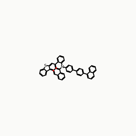 c1ccc(N(c2ccc(-c3ccc(-c4cccc5ccccc45)cc3)cc2)c2cccc3ccccc23)c(-c2ccc3c(c2)sc2ccccc23)c1